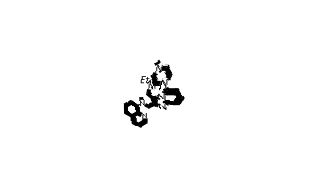 CCNCc1c(CN(C)[C@H]2CCCc3cccnc32)nc2cccc(N3CCN(C)CC3)n12